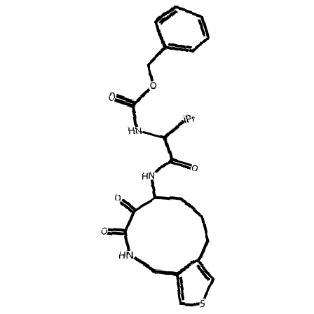 CC(C)C(NC(=O)OCc1ccccc1)C(=O)NC1CCCc2cscc2CNC(=O)C1=O